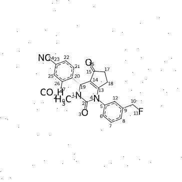 CN1C(=O)N(c2cccc(CF)c2)C2=C(C(=O)CC2)[C@H]1c1ccc(C#N)cc1C(=O)O